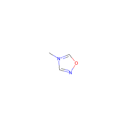 C[n+]1cnoc1